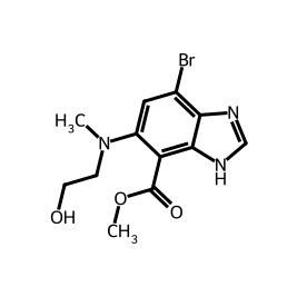 COC(=O)c1c(N(C)CCO)cc(Br)c2nc[nH]c12